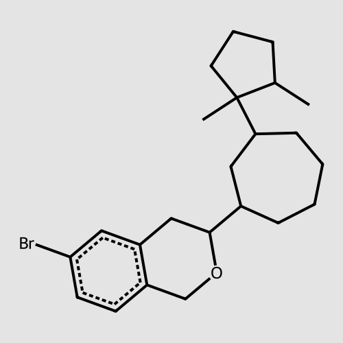 CC1CCCC1(C)C1CCCCC(C2Cc3cc(Br)ccc3CO2)C1